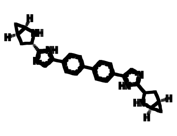 c1cc(-c2cnc(C3C[C@H]4C[C@H]4N3)[nH]2)ccc1-c1ccc(-c2cnc([C@@H]3C[C@H]4C[C@H]4N3)[nH]2)cc1